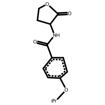 CC(C)Oc1ccc(C(=O)NC2CCOC2=O)cc1